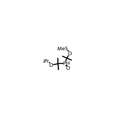 CSOC(C)(C)[PH](=O)C(C)(C)OC(C)C